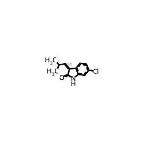 CC(C)/C=C1\C(=O)Nc2cc(Cl)ccc21